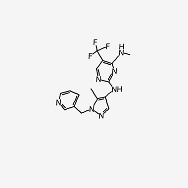 CNc1nc(Nc2cnn(Cc3cccnc3)c2C)ncc1C(F)(F)F